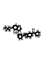 c1cc(Nc2ccnc3ccc(N4CC5(COC5)C4)cc23)cc(-c2nc3ccc(Nc4ccncc4)cc3[nH]2)c1